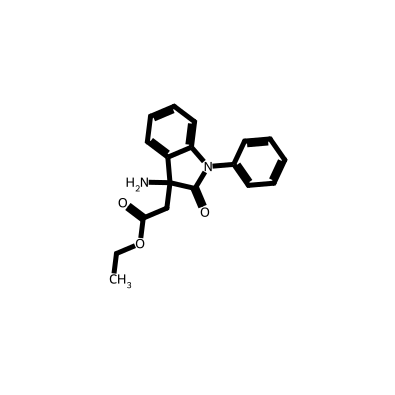 CCOC(=O)CC1(N)C(=O)N(c2ccccc2)c2ccccc21